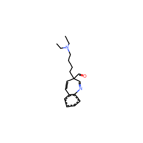 CCN(CC)CCCCC1(C=O)C=Cc2ccccc2N=C1